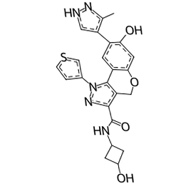 Cc1n[nH]cc1-c1cc2c(cc1O)OCc1c(C(=O)NC3CC(O)C3)nn(-c3ccsc3)c1-2